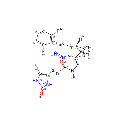 CCN(C[C@@]12CC[C@@H](c3cc(-c4c(F)cccc4F)nnc31)C2(C)C)C(=O)CCC1NC(=O)NC1=O